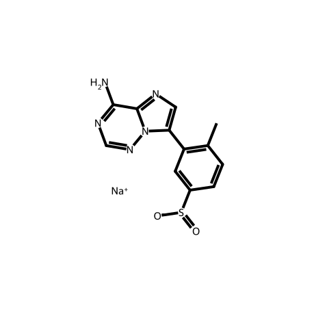 Cc1ccc(S(=O)[O-])cc1-c1cnc2c(N)ncnn12.[Na+]